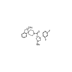 CC(=O)O[C@@H]1Cc2ccccc2C12CCN(C(=O)[C@@H]1CN(C(C)(C)C)C[C@H]1c1ccc(F)cc1F)CC2